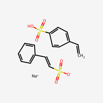 C=Cc1ccc(S(=O)(=O)O)cc1.O=S(=O)([O-])C=Cc1ccccc1.[Na+]